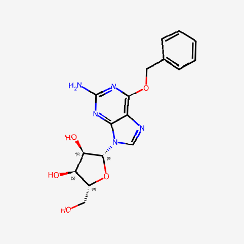 Nc1nc(OCc2ccccc2)c2ncn([C@@H]3O[C@H](CO)[C@@H](O)[C@H]3O)c2n1